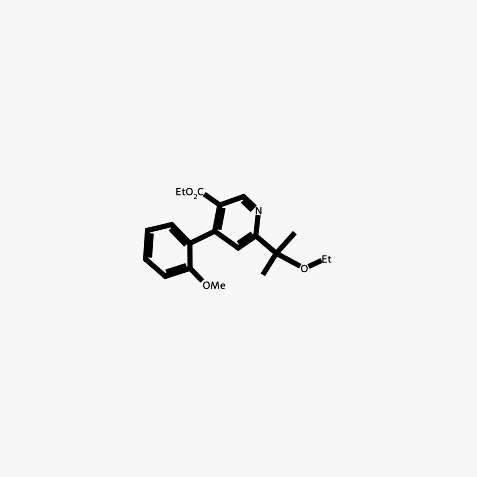 CCOC(=O)c1cnc(C(C)(C)OCC)cc1-c1ccccc1OC